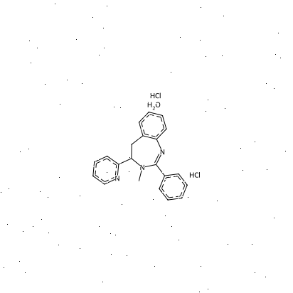 CN1C(c2ccccc2)=Nc2ccccc2CC1c1ccccn1.Cl.Cl.O